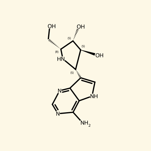 Nc1ncnc2c([C@@H]3N[C@H](CO)[C@H](O)[C@H]3O)c[nH]c12